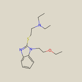 CCOCCn1c(SCCN(CC)CC)nc2ccccc21